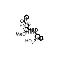 CC[C@H](Nc1nc(OC)nc(NNC(=O)C(CNC(=O)O)CC2CCCC2)c1F)C(=O)N1CCCC1